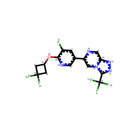 Fc1cc(-c2cn3c(C(F)(F)F)nnc3cn2)cnc1OC1CC(F)(F)C1